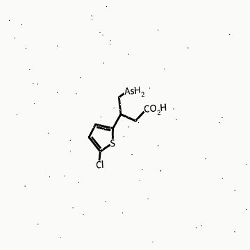 O=C(O)CC(C[AsH2])c1ccc(Cl)s1